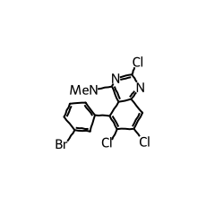 CNc1nc(Cl)nc2cc(Cl)c(Cl)c(-c3cccc(Br)c3)c12